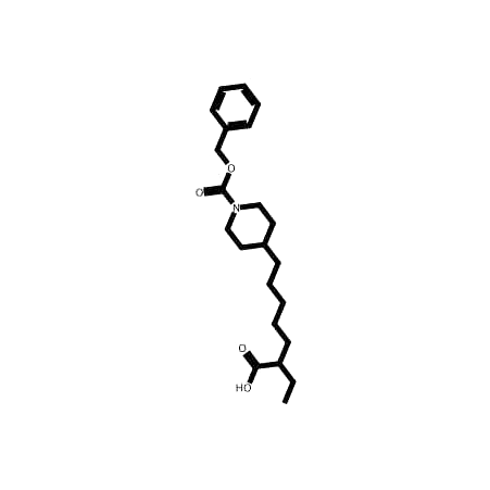 CCC(CCCCCC1CCN(C(=O)OCc2ccccc2)CC1)C(=O)O